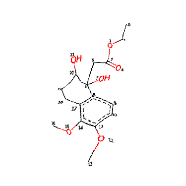 CCOC(=O)CC1(O)c2ccc(OC)c(OC)c2CCC1O